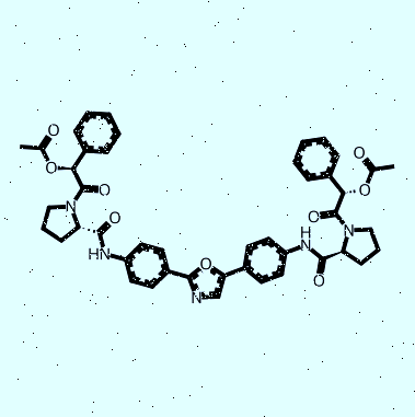 CC(=O)O[C@H](C(=O)N1CCC[C@H]1C(=O)Nc1ccc(-c2cnc(-c3ccc(NC(=O)[C@@H]4CCCN4C(=O)[C@@H](OC(C)=O)c4ccccc4)cc3)o2)cc1)c1ccccc1